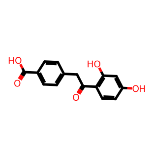 O=C(O)c1ccc(CC(=O)c2ccc(O)cc2O)cc1